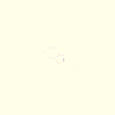 CCOC(=O)c1cn2c(n1)CNC(C(F)(F)F)C2